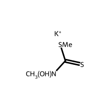 C[SH-]C(=S)N(C)O.[K+]